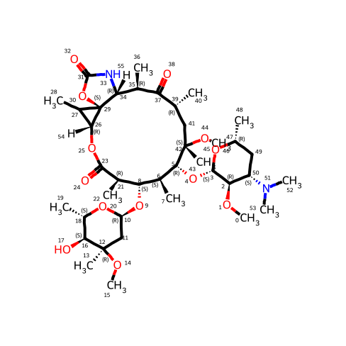 CO[C@H]1[C@H](O[C@@H]2[C@@H](C)[C@H](O[C@H]3C[C@@](C)(OC)[C@@H](O)[C@H](C)O3)[C@@H](C)C(=O)O[C@@H]3C(C)[C@@]34OC(=O)N[C@@H]4[C@@H](C)C(=O)[C@H](C)C[C@]2(C)OC)O[C@H](C)C[C@@H]1N(C)C